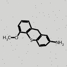 COc1cccc2c1Sc1ccc(N)cc1C2